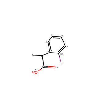 CC(C(=O)O)c1ccccc1I